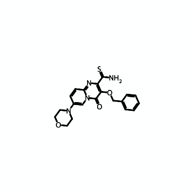 NC(=S)c1nc2ccc(N3CCOCC3)cn2c(=O)c1OCc1ccccc1